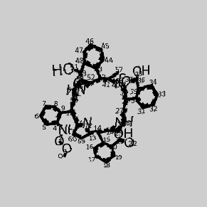 COONc1ccccc1-c1c2nc(c(-c3ccccc3C(=O)O)c3ccc([nH]3)c(-c3ccccc3C(=O)O)c3nc(c(-c4ccccc4C(=O)O)c4ccc1[nH]4)CC3)C=C2